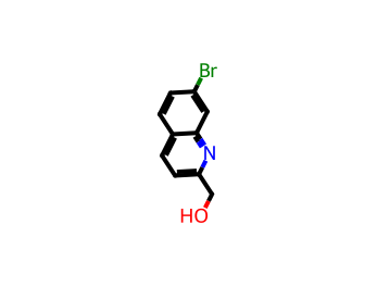 OCc1ccc2ccc(Br)cc2n1